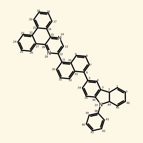 C1=CC2c3cc(-c4cccc5c(-c6cnc7c8ccccc8c8ccccc8c7n6)cccc45)ccc3N(c3ccccc3)C2C=C1